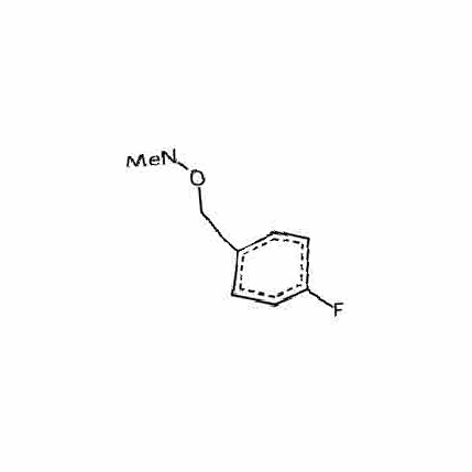 CNOCc1ccc(F)cc1